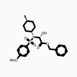 COc1ccc(S(=O)(=O)N([C@H]2CC[C@H](C)CC2)[C@H](O)C(=O)OCc2ccccc2)cc1